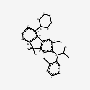 Cc1ccccc1N(c1cc2c(cc1C)-c1c(C3CCCCC3)cccc1C2(C)C)C(C)C